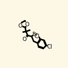 CC(C)(C(=O)C(Br)Cc1ccc(Cl)cc1Cl)C1OCCO1